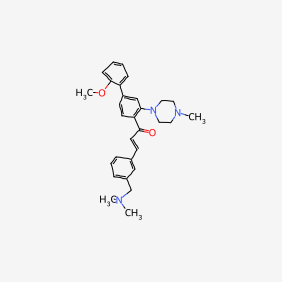 COc1ccccc1-c1ccc(C(=O)/C=C/c2cccc(CN(C)C)c2)c(N2CCN(C)CC2)c1